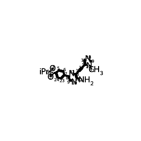 CC(C)S(=O)(=O)c1ccc(-c2cnc(N)c(C#Cc3cncn3C)n2)cc1